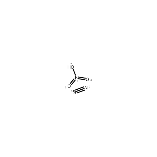 N#[Si].O=P(=O)O